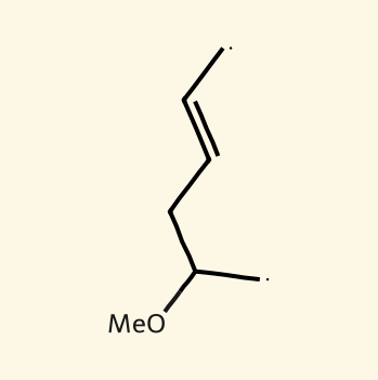 [CH2]C=CCC([CH2])OC